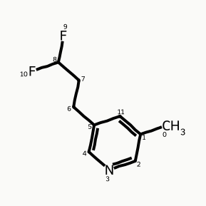 Cc1cncc(CCC(F)F)c1